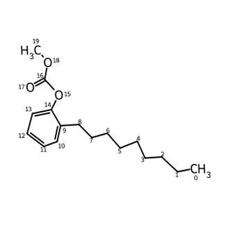 CCCCCCCCCc1ccccc1OC(=O)OC